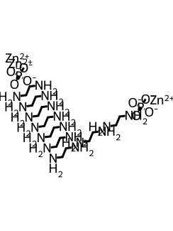 NCCN.NCCN.NCCN.NCCN.NCCN.NCCN.NCCN.NCCN.NCCN.O=P([O-])([O-])[O-].O=P([O-])([O-])[O-].[Zn+2].[Zn+2].[Zn+2]